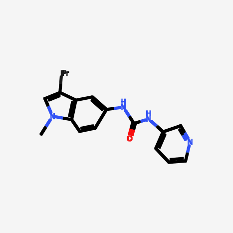 CC(C)c1cn(C)c2ccc(NC(=O)Nc3cccnc3)cc12